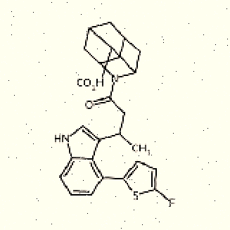 CC(CC(=O)N1C2CC3CC(C2)C(C(=O)O)C1C3)c1c[nH]c2cccc(-c3ccc(F)s3)c12